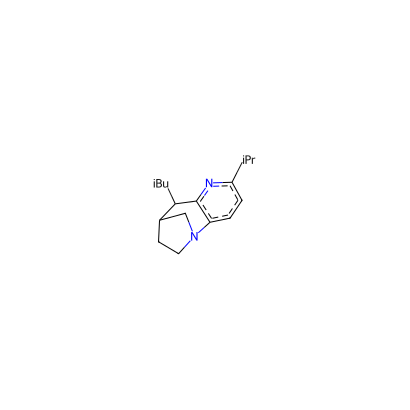 CCC(C)C1c2nc(C(C)C)ccc2N2CCC1C2